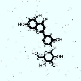 O=c1cc(-c2ccc(O[C@@H]3OC(CO)[C@@H](O)C(O)C3O)c(O)c2)oc2cc(O)cc(O)c12